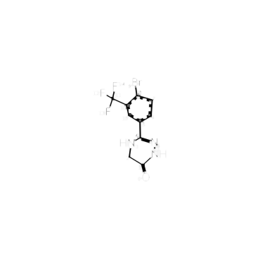 O=C1CNC(c2ccc(Br)c(C(F)(F)F)c2)=NN1